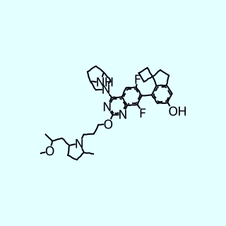 COC(C)CC1CCC(C)N1CCCOc1nc(N2CC3CCC(C2)N3)c2cc(F)c(-c3cc(O)cc4c3C3(CCC3)CC4)c(F)c2n1